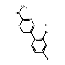 CNC1=NN=C(c2ccc(Br)cc2Br)CS1.Cl